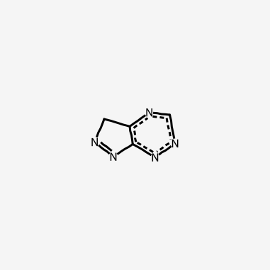 c1nnc2c(n1)CN=N2